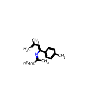 C=C(C)/C=C(\N=C(/C)CCCCC)c1ccc(C)cc1